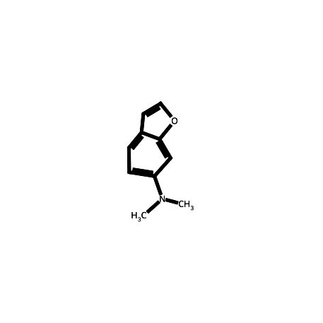 CN(C)c1ccc2c[c]oc2c1